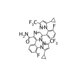 NC(=O)c1ncc(-c2cccc(F)c2-n2nc(C(F)(F)F)cc2C2CC2)nc1-c1cccc(F)c1-n1nc(C(F)(F)F)cc1C1CC1